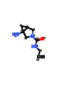 NC12CC1CN(C(=O)NCC=O)C2